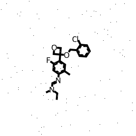 CCN(C)C=Nc1cc(F)c(C2(OCc3ccccc3Cl)COC2)cc1C